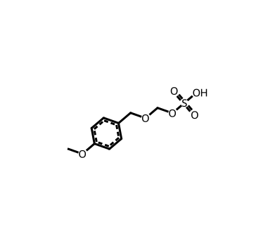 COc1ccc(COCOS(=O)(=O)O)cc1